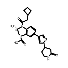 C[C@H]1CN(C(=O)O)c2cc(-c3cnn(C4CCNC(=O)C4)c3)ccc2N1C(=O)CC1CCC1